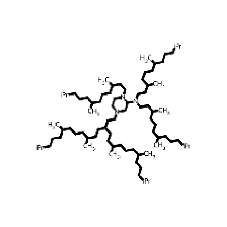 CC(C)CCCC(C)CCCC(C)CCC(CCC(C)CCCC(C)CCCC(C)C)CCN1CCN(CCC(C)CCCC(C)CCCC(C)C)C(N(CCC(C)CCCC(C)CCCC(C)C)CCC(C)CCCC(C)CCCC(C)C)C1